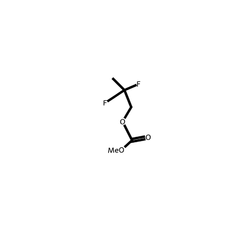 COC(=O)OCC(C)(F)F